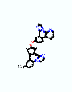 CC(C)(C)c1ccc2c(c1)c1ccc(Oc3ccc4c5cccnc5n5ccnc5c4c3)cc1c1nccn21